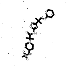 CC(C)(COC1CCCCO1)c1cc(NC(=O)C(C)(C)N2CCC(NS(C)(=O)=O)CC2)on1